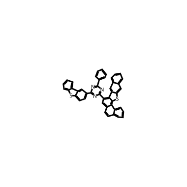 c1ccc(-c2nc(-c3ccc4sc5ccccc5c4c3)nc(-c3cc4ccc5ccccc5c4c4sc5cc6ccccc6cc5c34)n2)cc1